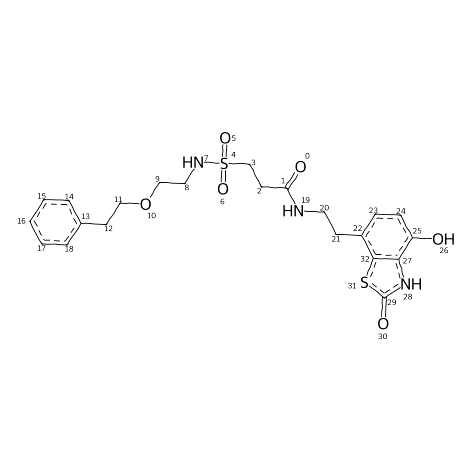 O=C(CCS(=O)(=O)NCCOCCc1ccccc1)NCCc1ccc(O)c2[nH]c(=O)sc12